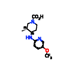 C[C@@H]1CN(C(=O)O)CC[C@@H]1Nc1ccc(OC(F)(F)F)cn1